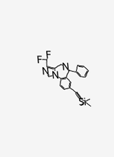 C[Si](C)(C)C#Cc1ccc2c(c1)C(c1ccccc1)=NCc1c(C(F)F)ncn1-2